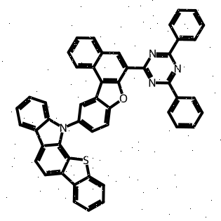 c1ccc(-c2nc(-c3ccccc3)nc(-c3cc4ccccc4c4c3oc3ccc(-n5c6ccccc6c6ccc7c8ccccc8sc7c65)cc34)n2)cc1